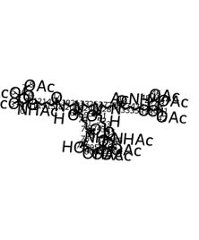 CC(=O)NC1C(OC(C)=O)[C@@H](OC(C)=O)C(COC(C)=O)O[C@H]1OCCCCC(=O)NCCCN(CCCN(CCCNC(=O)CCCCO[C@@H]1OC(COC(C)=O)[C@H](OC(C)=O)C(OC(C)=O)[C@@H]1NC(C)=O)C(=O)CCCCO[C@@H]1OC(COC(C)=O)[C@H](OC(C)=O)C(OC(C)=O)C1NC(C)=O)C(=O)CCCCC(=O)NCC(O)CO